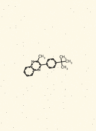 Cc1nc2ccccc2nc1-c1ccc(C(C)(C)C)cc1